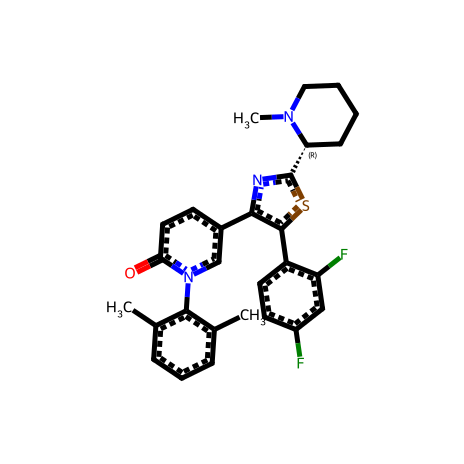 Cc1cccc(C)c1-n1cc(-c2nc([C@H]3CCCCN3C)sc2-c2ccc(F)cc2F)ccc1=O